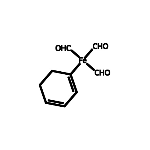 O=[CH][Fe]([CH]=O)([CH]=O)[C]1=CC=CCC1